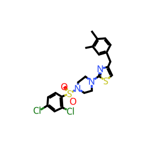 Cc1ccc(Cc2csc(N3CCN(S(=O)(=O)c4ccc(Cl)cc4Cl)CC3)n2)cc1C